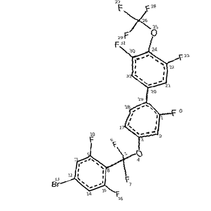 Fc1cc(OC(F)(F)c2c(F)cc(Br)cc2F)ccc1-c1cc(F)c(OC(F)(F)F)c(F)c1